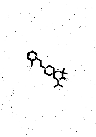 CC(C)N1CC2(CCN(CCc3ccccc3F)CC2)OC(C)(C)C1=O